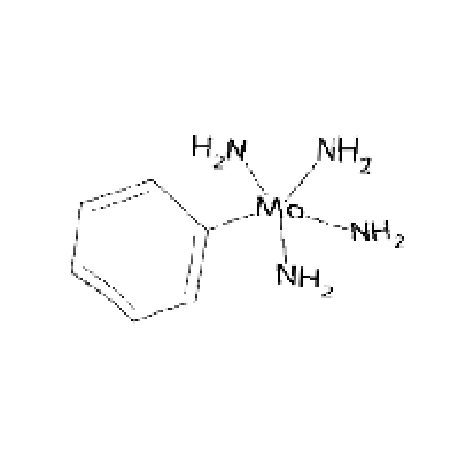 [NH2][Mo]([NH2])([NH2])([NH2])[c]1ccccc1